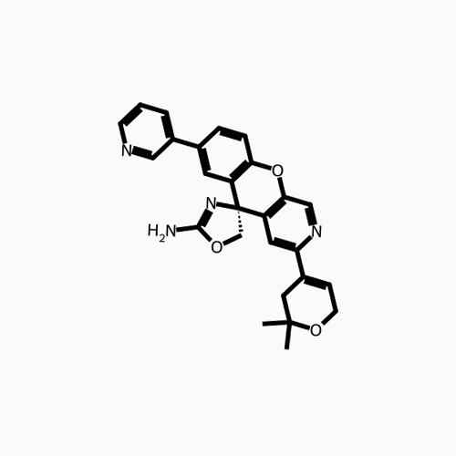 CC1(C)CC(c2cc3c(cn2)Oc2ccc(-c4cccnc4)cc2[C@@]32COC(N)=N2)=CCO1